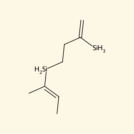 C=C([SiH3])CC[SiH2]C(C)=CC